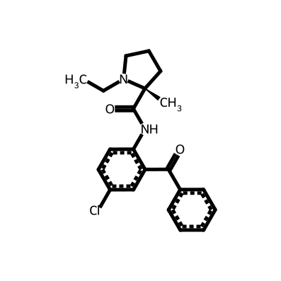 CCN1CCC[C@]1(C)C(=O)Nc1ccc(Cl)cc1C(=O)c1ccccc1